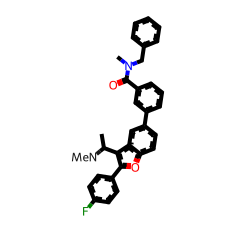 CNC(C)c1c(-c2ccc(F)cc2)oc2ccc(-c3cccc(C(=O)N(C)Cc4ccccc4)c3)cc12